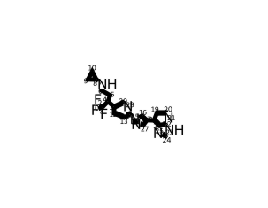 FC(F)(F)C(CCNC1CC1)c1ccc(-n2cc(-c3ccnc4[nH]cnc34)cn2)nc1